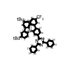 CC(C)(C)c1ccc2c(c1)c1cc(C(C)(C)C)ccc1n2-c1cc(-c2nc(-c3ccccc3)nc(-c3ccccc3)n2)ccc1-c1cccc(C(F)(F)F)c1